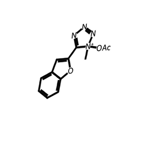 CC(=O)O[N+]1(C)N=NN=C1c1cc2ccccc2o1